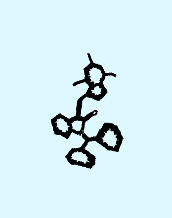 Cc1cc(C)c2ccc(C=C3C(=O)N(C(c4ccccc4)c4ccccc4)c4ccccc43)c-2c(C)c1